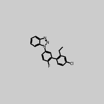 CCc1cc(Cl)ccc1-c1cc(-n2nnc3ccccc32)ccc1F